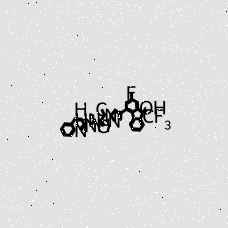 CC(C(=O)NNc1ccc2ccccc2n1)n1cc(-c2cc(F)cc3c2-c2ccccc2C3(O)C(F)(F)F)cn1